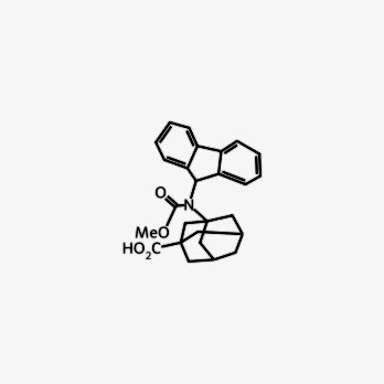 COC(=O)N(C1c2ccccc2-c2ccccc21)C12CC3CC(CC(C(=O)O)(C3)C1)C2